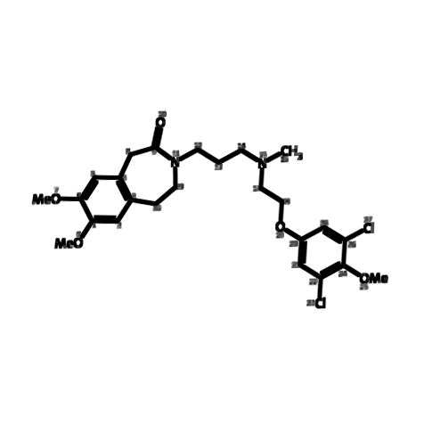 COc1cc2c(cc1OC)CC(=O)N(CCCN(C)CCOc1cc(Cl)c(OC)c(Cl)c1)CC2